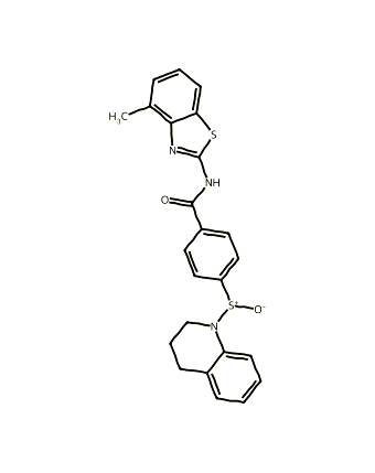 Cc1cccc2sc(NC(=O)c3ccc([S+]([O-])N4CCCc5ccccc54)cc3)nc12